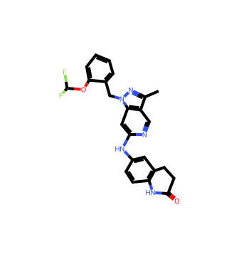 Cc1nn(Cc2ccccc2OC(F)F)c2cc(Nc3ccc4c(c3)CCC(=O)N4)ncc12